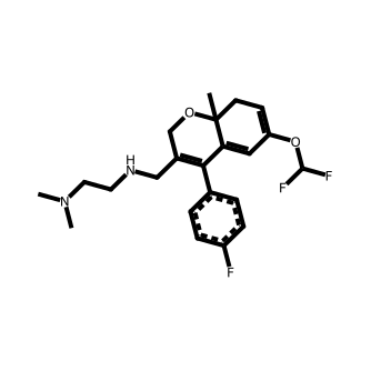 CN(C)CCNCC1=C(c2ccc(F)cc2)C2=CC(OC(F)F)=CCC2(C)OC1